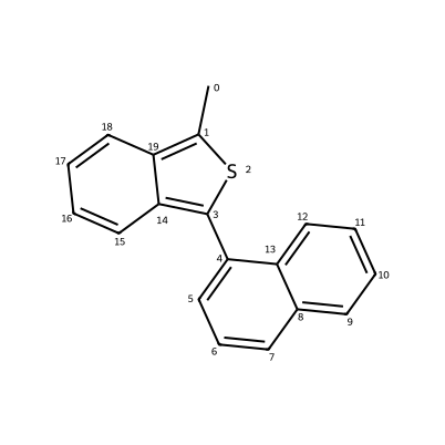 Cc1sc(-c2cccc3ccccc23)c2ccccc12